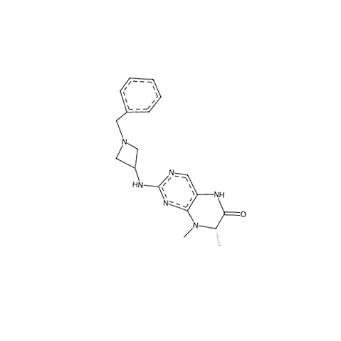 C[C@H]1C(=O)Nc2cnc(NC3CN(Cc4ccccc4)C3)nc2N1C